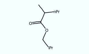 CCCC(C)C(=O)OCC(C)C